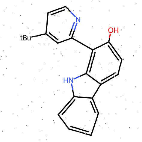 CC(C)(C)c1ccnc(-c2c(O)ccc3c2[nH]c2ccccc23)c1